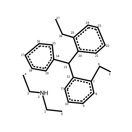 CCNCC.CCc1ccccc1C(c1ccccc1)c1ccccc1CC